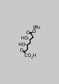 CC(C)(C)OC(=O)C[C@@H](O)C[C@@H](O)CC(=O)C(=O)O